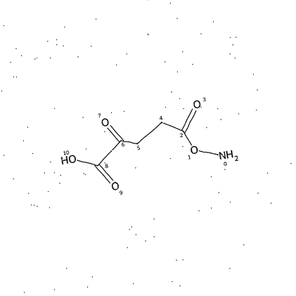 NOC(=O)CCC(=O)C(=O)O